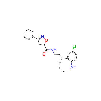 O=C(NCC/C1=C/CCCNc2ccc(Cl)cc21)C1CC(c2ccccc2)=NO1